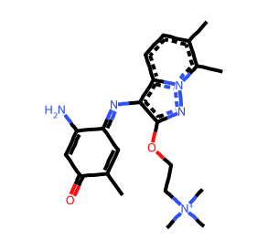 CC1=C/C(=N\c2c(OCC[N+](C)(C)C)nn3c(C)c(C)ccc23)C(N)=CC1=O